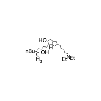 CCCC[C@H](C)C[C@H](O)/C=C/[C@H]1[C@H](O)CC2=CC(CCCCCN(CC)CC)C[C@H]21